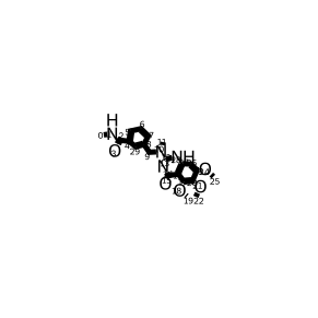 CNC(=O)c1cccc(CN(C)c2nc(=O)c3c(OC)c(OC)c(OC)cc3[nH]2)c1